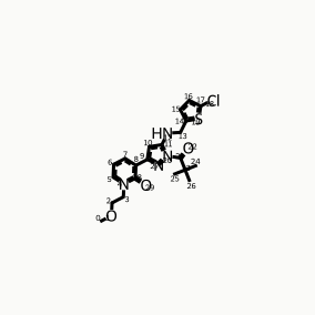 COCCn1cccc(-c2cc(NCc3ccc(Cl)s3)n(C(=O)C(C)(C)C)n2)c1=O